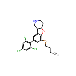 CCCCSc1cc(-c2c(Cl)cc(Cl)cc2Cl)cc2c1OC1CCNCC21